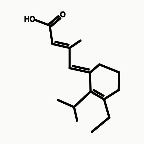 CCC1=C(C(C)C)/C(=C/C(C)=C/C(=O)O)CCC1